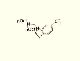 CCCCCCCCN(CCCCCCCC)Cn1cnc2ccc(C(F)(F)F)cc21